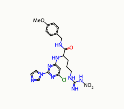 COc1ccc(CNC(=O)C(CCCNC(=N)N[N+](=O)[O-])Nc2cc(Cl)nc(-n3ccnc3)n2)cc1